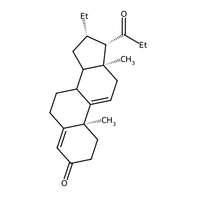 CCC(=O)[C@H]1[C@@H](CC)CC2C3CCC4=CC(=O)CC[C@]4(C)C3=CC[C@@]21C